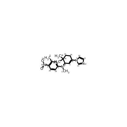 Cc1nc(N(C)C2C=C(n3ccnc3)CCC2(C)C)ccc1[N+](=O)[O-]